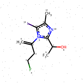 C=C(CCF)n1c(C(O)C(F)(F)F)nc(C)c1I